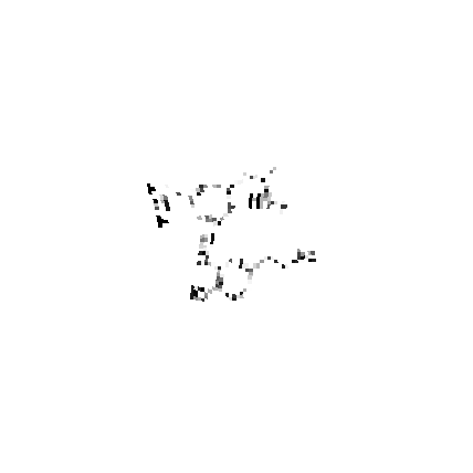 CCNC(C)Cc1cccc(C(F)(F)F)c1.CCOc1cc(CCC(C)=O)ccc1O.Cl